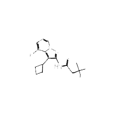 CC(C)(C)CC(=O)Nc1nn2cccc(F)c2c1C1CCC1